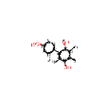 Cc1cc(O)ccc1-c1c(C)c(O)c(C)c(C)c1O